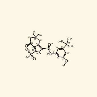 COc1cc(NC(=O)c2sc(S(C)(=O)=O)c3c2CC(C)(C)CC3=O)cc(C(F)(F)F)c1